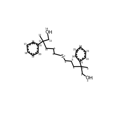 CC(CO)(CCCSCCCC(C)(CO)c1ccccc1)c1ccccc1